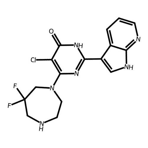 O=c1[nH]c(-c2c[nH]c3ncccc23)nc(N2CCNCC(F)(F)C2)c1Cl